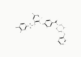 O=C(c1ccc(Oc2ncc(Cl)cc2NS(=O)(=O)c2ccc(Cl)c(Cl)c2)cc1)N1CCN(Cc2cccnc2)CC1